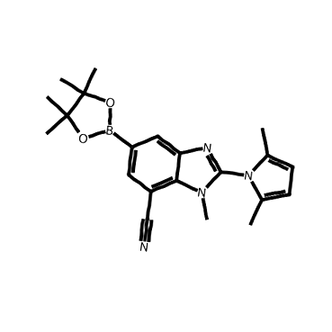 Cc1ccc(C)n1-c1nc2cc(B3OC(C)(C)C(C)(C)O3)cc(C#N)c2n1C